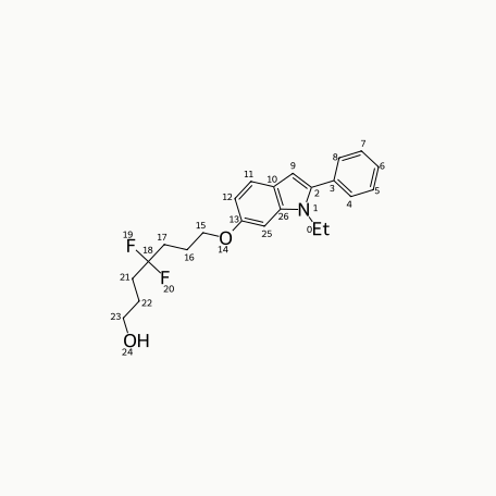 CCn1c(-c2ccccc2)cc2ccc(OCCCC(F)(F)CCCO)cc21